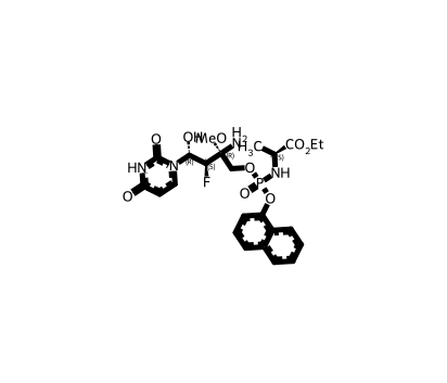 CCOC(=O)[C@H](C)NP(=O)(OC[C@@](N)(OC)[C@@H](F)[C@@H](O)n1ccc(=O)[nH]c1=O)Oc1cccc2ccccc12